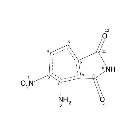 Nc1c([N+](=O)[O-])ccc2c1C(=O)NC2=O